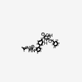 O=C(CNC1CC1)Nc1cccc(-c2ccc(C[C@@H](NC(=O)OCc3ccccc3)C(=O)O)cc2)c1